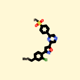 CNCc1ccc(-c2cc(-c3cncc(-c4ccc(S(=O)(=O)C(C)C)cc4)n3)on2)c(Cl)c1